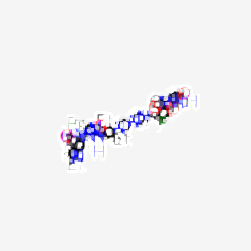 CCOc1cc(N2CCC(N3CCN(CCc4c(F)ccc(N(C)C5CCC(=O)NC5=O)c4OC=O)CC3)CC2)c(CC)cc1Nc1ncc(Br)c(Nc2ccc3nc(CC)ccc3c2P(C)(C)=O)n1